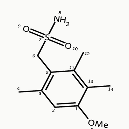 COc1cc(C)c(CS(N)(=O)=O)c(C)c1C